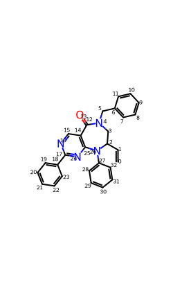 C=CC1CN(Cc2ccccc2)C(=O)c2cnc(-c3ccccc3)nc2N1c1ccccc1